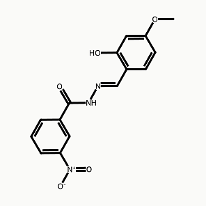 COc1ccc(/C=N/NC(=O)c2cccc([N+](=O)[O-])c2)c(O)c1